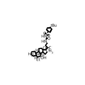 CC[C@H]1[C@@H](O)[C@@H]2[C@H](CC[C@]3(C)[C@@H]([C@H](C)CCNC(=O)NS(=O)(=O)c4ccc(C(C)(C)C)cc4)CC[C@@H]23)[C@@]2(C)CCCC[C@@H]12